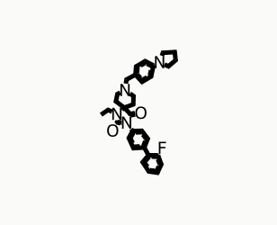 CCN1C(=O)N(c2ccc(-c3ccccc3F)cc2)C(=O)C12CCN(Cc1ccc(N3CCCC3)cc1)CC2